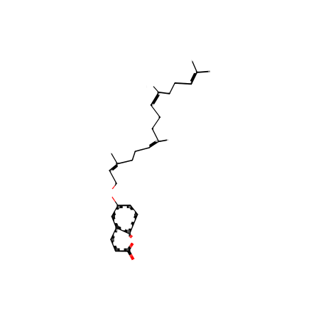 CC(C)=CCCC(C)=CCCC(C)=CCCC(C)=CCOc1ccc2oc(=O)ccc2c1